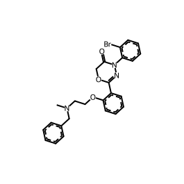 CN(CCOc1ccccc1C1=NN(c2ccccc2Br)C(=O)CO1)Cc1ccccc1